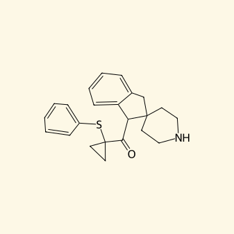 O=C(C1c2ccccc2CC12CCNCC2)C1(Sc2ccccc2)CC1